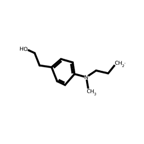 [CH2]CCN(C)c1ccc(CCO)cc1